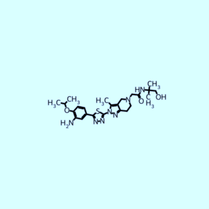 Cc1c2c(nn1-c1nnc(-c3ccc(OC(C)C)c(N)c3)s1)CCN(CC(=O)NC(C)(C)CO)C2